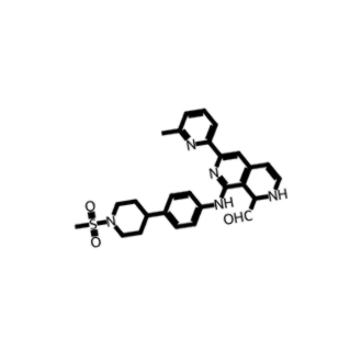 Cc1cccc(-c2cc3c(c(Nc4ccc(C5CCN(S(C)(=O)=O)CC5)cc4)n2)C(C=O)NC=C3)n1